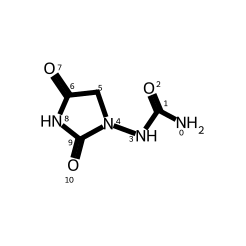 NC(=O)NN1CC(=O)NC1=O